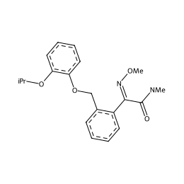 CNC(=O)C(=NOC)c1ccccc1COc1ccccc1OC(C)C